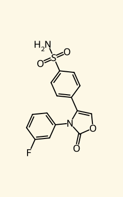 NS(=O)(=O)c1ccc(-c2coc(=O)n2-c2cccc(F)c2)cc1